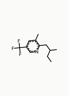 CCC(C)Cc1ncc(C(F)(F)F)cc1C